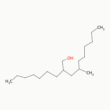 CCCCCCCC(CO)CC(C)CCCCCC